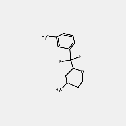 Cc1cccc(C(F)(F)C2CN(C)CCO2)c1